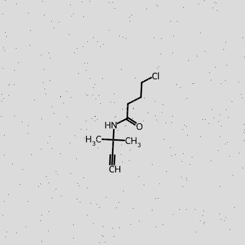 C#CC(C)(C)NC(=O)CCCCl